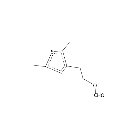 Cc1cc(CCOC=O)c(C)s1